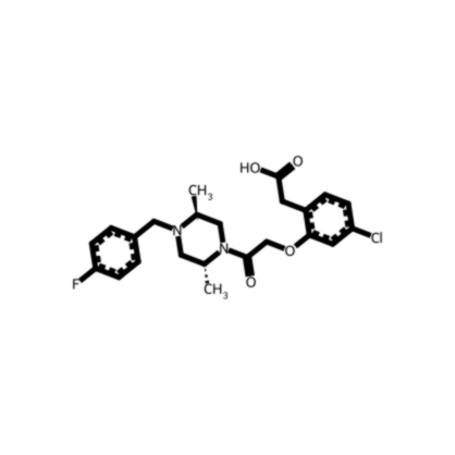 C[C@@H]1CN(Cc2ccc(F)cc2)[C@@H](C)CN1C(=O)COc1cc(Cl)ccc1CC(=O)O